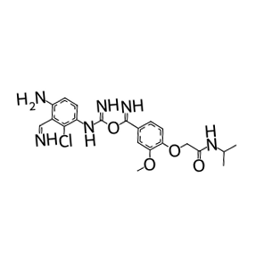 COc1cc(C(=N)OC(=N)Nc2ccc(N)c(C=N)c2Cl)ccc1OCC(=O)NC(C)C